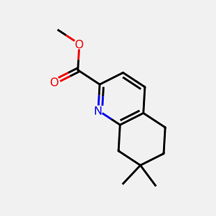 COC(=O)c1ccc2c(n1)CC(C)(C)CC2